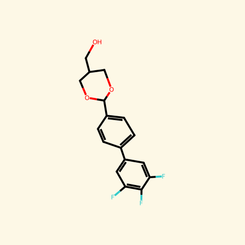 OCC1COC(c2ccc(-c3cc(F)c(F)c(F)c3)cc2)OC1